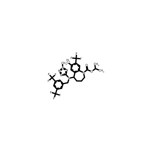 Cc1cc2c(cc1C(F)(F)F)N(C(=O)OC(C)C)CCCC2N(Cc1cc(C(F)(F)F)cc(C(F)(F)F)c1)c1nnn(C)n1